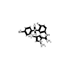 C=C(Nc1ccc(F)c(S(=O)(=O)c2ccc(Br)cc2)c1)c1cc(N)cn1C